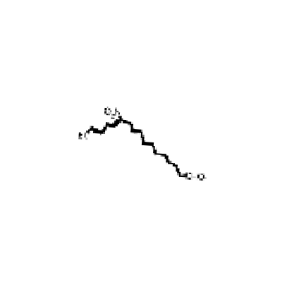 CC/C=C/C/C=C(/C/C=C/CCCCCCC[C]=O)[N+](=O)[O-]